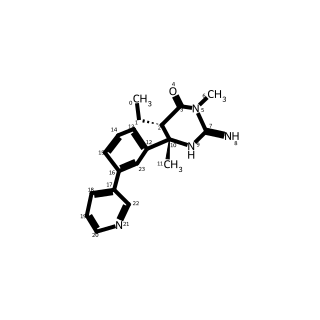 CC[C@@H]1C(=O)N(C)C(=N)N[C@]1(C)c1cccc(-c2cccnc2)c1